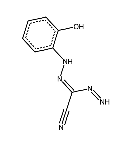 N#CC(N=N)=NNc1ccccc1O